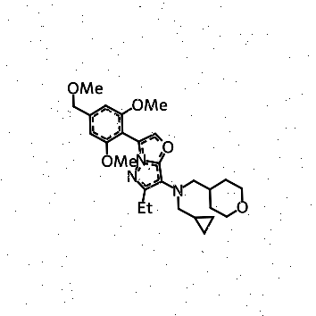 CCc1nn2c(-c3c(OC)cc(COC)cc3OC)coc2c1N(CC1CCOCC1)CC1CC1